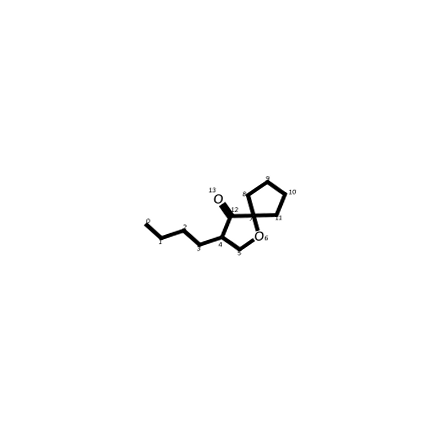 CCCCC1COC2(CCCC2)C1=O